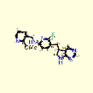 COc1ncccc1CNc1ccc(CC2CNc3ncncc32)c(F)n1